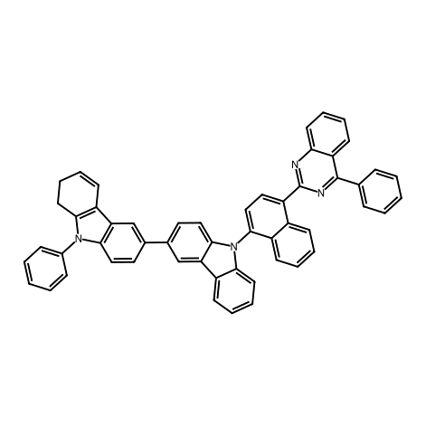 C1=Cc2c(n(-c3ccccc3)c3ccc(-c4ccc5c(c4)c4ccccc4n5-c4ccc(-c5nc(-c6ccccc6)c6ccccc6n5)c5ccccc45)cc23)CC1